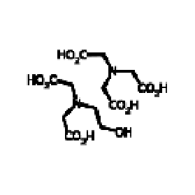 O=C(O)CN(CC(=O)O)CC(=O)O.O=C(O)CN(CCO)CC(=O)O